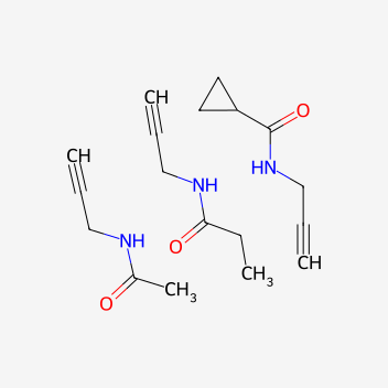 C#CCNC(=O)C1CC1.C#CCNC(=O)CC.C#CCNC(C)=O